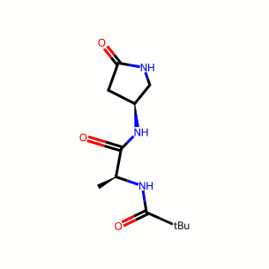 C[C@H](NC(=O)C(C)(C)C)C(=O)N[C@@H]1CNC(=O)C1